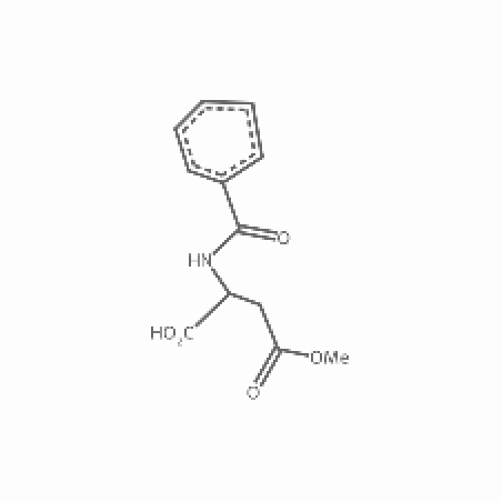 COC(=O)CC(NC(=O)c1ccccc1)C(=O)O